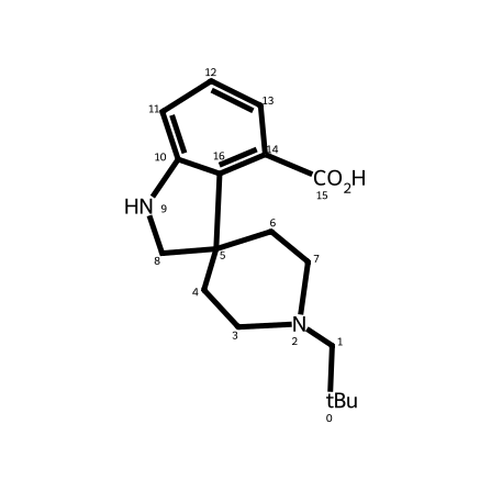 CC(C)(C)CN1CCC2(CC1)CNc1cccc(C(=O)O)c12